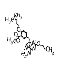 CCCCOc1nc(N)c2ncc(Cc3ccc(OCCCN(C)C)c(C(=O)OC)c3)n2n1